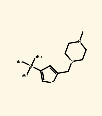 CCC[CH2][Sn]([CH2]CCC)([CH2]CCC)[c]1coc(CN2CCN(C)CC2)c1